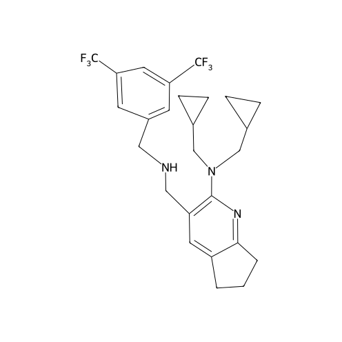 FC(F)(F)c1cc(CNCc2cc3c(nc2N(CC2CC2)CC2CC2)CCC3)cc(C(F)(F)F)c1